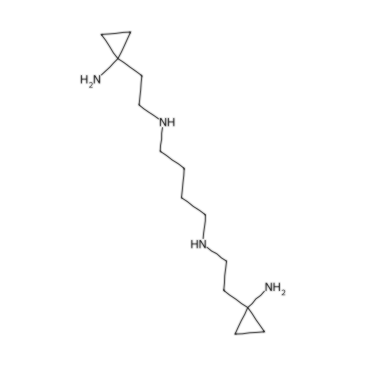 NC1(CCNCCCCNCCC2(N)CC2)CC1